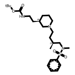 C[C@@H](CCN1CCC[C@H](CCNC(=O)OC(C)(C)C)C1)CN(C)S(=O)(=O)c1ccccc1